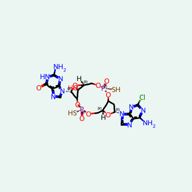 Nc1nc2c(ncn2[C@@H]2O[C@@H]3CO[P@@](=O)(S)OC4C[C@H](n5cnc6c(N)nc(Cl)nc65)O[C@@H]4CO[P@@](=O)(S)OC2C3O)c(=O)[nH]1